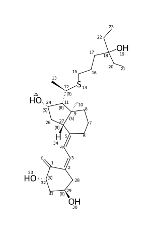 C=C1C(=CC=C2CCC[C@]3(C)[C@@H]([C@@H](C)SCCCC(O)(CC)CC)[C@@H](O)C[C@@H]23)C[C@@H](O)C[C@@H]1O